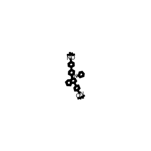 CC1(C)N=C(c2ccc(-c3ccc4c5c6ccccc6c(-c6ccc(C7=NC(C)(C)C(C)(C)O7)cc6)cc5n(-c5ccccc5)c4c3)cc2)OC1(C)C